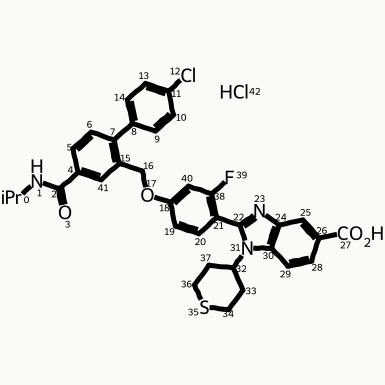 CC(C)NC(=O)c1ccc(-c2ccc(Cl)cc2)c(COc2ccc(-c3nc4cc(C(=O)O)ccc4n3C3CCSCC3)c(F)c2)c1.Cl